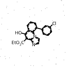 CCOC(=O)c1c(O)c2cccc(-c3cccc(Cl)c3)c2n2ccnc12